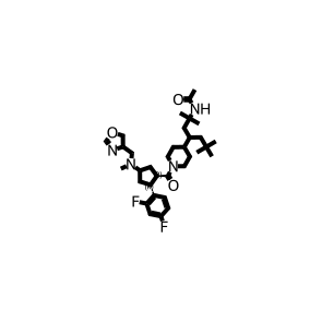 CC(=O)NC(C)(C)CC(CC(C)(C)C)C1CCN(C(=O)[C@@H]2CC(N(C)CC3COC=N3)C[C@H]2c2ccc(F)cc2F)CC1